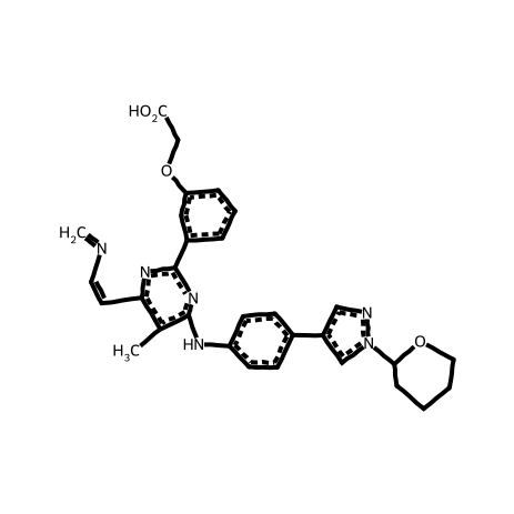 C=N/C=C\c1nc(-c2cccc(OCC(=O)O)c2)nc(Nc2ccc(-c3cnn(C4CCCCO4)c3)cc2)c1C